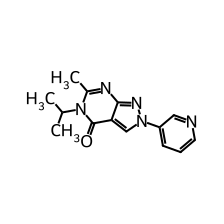 Cc1nc2nn(-c3cccnc3)cc2c(=O)n1C(C)C